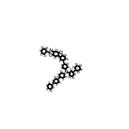 c1ccc(-c2ccc(-c3ccc(N(c4ccc(-c5ccc6oc7cc8nc(-c9ccccc9)oc8cc7c6c5)cc4)c4cccc(-c5ccccc5)c4)cc3)cc2)cc1